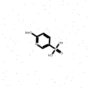 COc1ccc(P(=O)(O)O)cn1